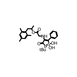 Cc1cc(C)c(CC(C)OC(=O)CNC2=C(c3ccccc3)S(O)(O)N(C(C)(C)C)C2=O)c(C)c1